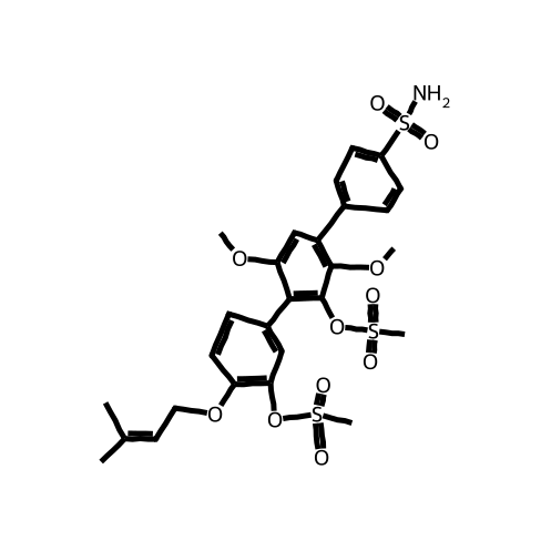 COc1cc(-c2ccc(S(N)(=O)=O)cc2)c(OC)c(OS(C)(=O)=O)c1-c1ccc(OCC=C(C)C)c(OS(C)(=O)=O)c1